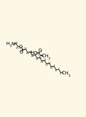 C=CC(=O)O.CCCCCCCCCCCCCCCCCC(=O)OCCN